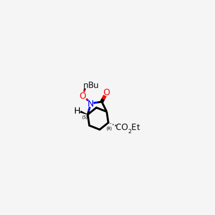 CCCCON1C(=O)C2C[C@@H]1CC[C@H]2C(=O)OCC